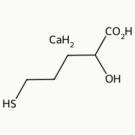 O=C(O)C(O)CCCS.[CaH2]